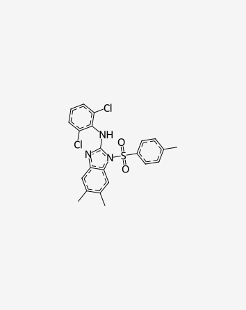 Cc1ccc(S(=O)(=O)n2c(Nc3c(Cl)cccc3Cl)nc3cc(C)c(C)cc32)cc1